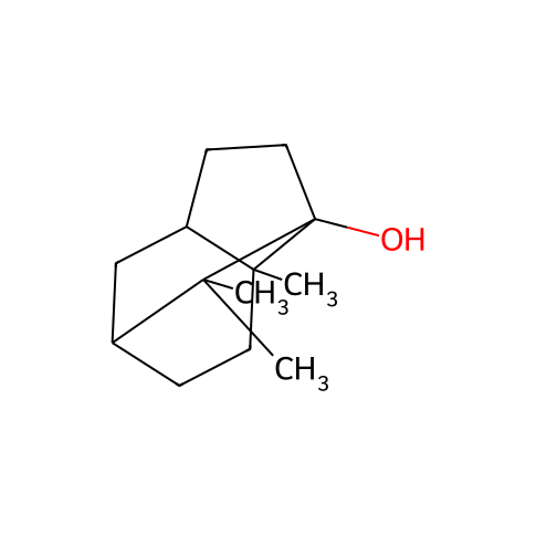 CC1(C)C2CCC3(C)C(CCC13O)C2